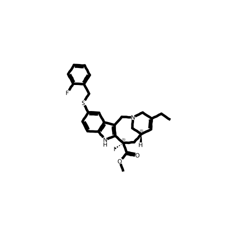 CCC1=C[C@H]2CN(C1)Cc1c([nH]c3ccc(SCc4ccccc4F)cc13)[C@](I)(C(=O)OC)C2